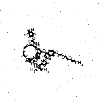 CCCOCCOCCOc1ccc2c(O[C@@H]3C[C@H]4C(=O)N[C@]5(C(=O)O)C[C@H]5CCCCCCC[C@H](NC(=O)O[C@@H]5C[C@@H]6C[C@@H]6C5)C(=O)N4C3)cc(-n3ccc(NC(C)C)n3)nc2c1